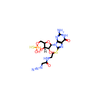 [N-]=[N+]=NCC(=O)NCCSc1nc2c(=O)[nH]c(N)nc2n1[C@@H]1OC2CO[PH](O)(S)O[C@H]2[C@@H]1O